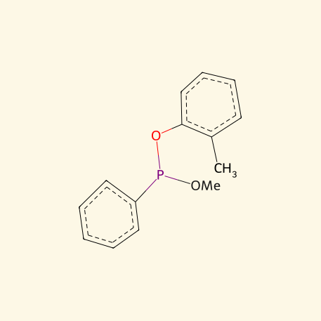 COP(Oc1ccccc1C)c1ccccc1